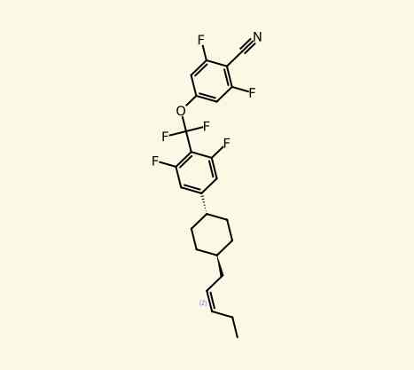 CC/C=C\C[C@H]1CC[C@H](c2cc(F)c(C(F)(F)Oc3cc(F)c(C#N)c(F)c3)c(F)c2)CC1